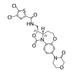 O=C(NC[C@@H]1OC(=O)N2c3ccc(N4CCOCC4=O)cc3OCC[C@@H]12)c1cc(Cl)c(Cl)s1